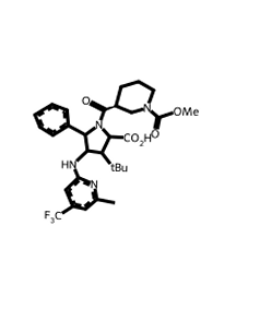 COC(=O)N1CCC[C@H](C(=O)N2C(C(=O)O)C(C(C)(C)C)C(Nc3cc(C(F)(F)F)cc(C)n3)C2c2ccccc2)C1